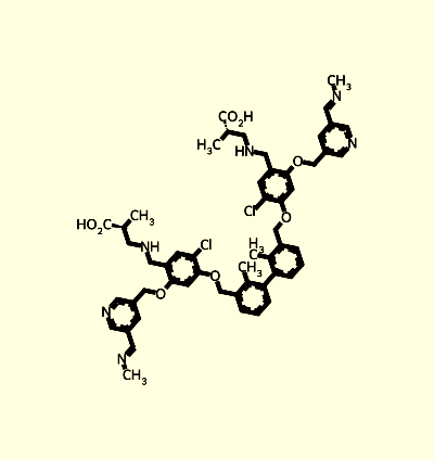 C/N=C/c1cncc(COc2cc(OCc3cccc(-c4cccc(COc5cc(OCc6cncc(/C=N/C)c6)c(CNC[C@H](C)C(=O)O)cc5Cl)c4C)c3C)c(Cl)cc2CNC[C@H](C)C(=O)O)c1